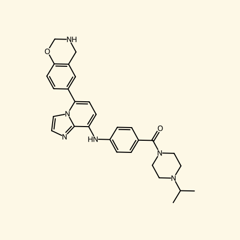 CC(C)N1CCN(C(=O)c2ccc(Nc3ccc(-c4ccc5c(c4)CNCO5)n4ccnc34)cc2)CC1